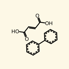 O=C(O)/C=C/C(=O)O.c1ccc(-c2ccccc2)cc1